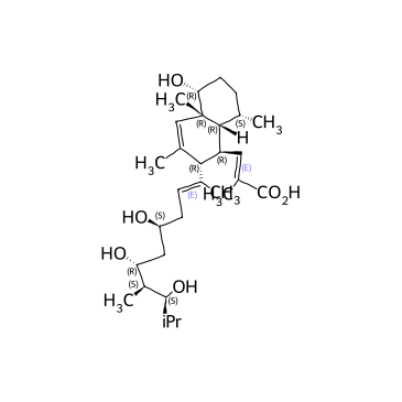 CC1=C[C@@]2(C)[C@@H]([C@@H](/C=C(\C)C(=O)O)[C@@H]1/C(C)=C/C[C@H](O)C[C@@H](O)[C@H](C)[C@@H](O)C(C)C)[C@@H](C)CC[C@H]2O